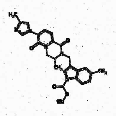 Cc1ccc2c(c1)c(CN1C(=O)c3ccc(-n4cnc(C)c4)c(=O)n3CC1C)cn2C(=O)OC(C)(C)C